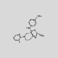 COc1nc2c(c(Nc3ccc(C(C)(C)C)cc3)n1)CN(c1ncccc1C)CC2